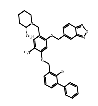 O=C(O)[C@@H]1CCCCN1Cc1cc([N+](=O)[O-])c(OCc2cccc(-c3ccccc3)c2Br)cc1OCc1ccc2nonc2c1